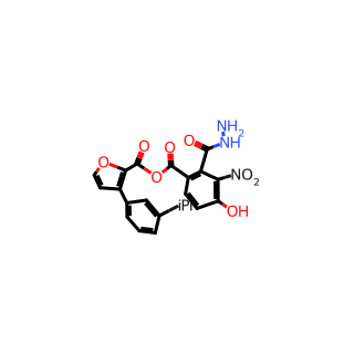 CC(C)c1cccc(-c2ccoc2C(=O)OC(=O)c2ccc(O)c([N+](=O)[O-])c2C(=O)NN)c1